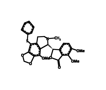 COc1ccc2c(c1OC)C(=O)O[C@@H]2C1c2c(c(Sc3ccccc3)c3c(c2OC)OCO3)CCN1C